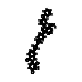 Nc1ncnc2c1c(-c1ccc(Oc3ccccc3)cc1)nn2C1CCC2(CC1)CN(C1CN(c3ccc4c(c3)CN([C@@H]3CCC(=O)NC3=O)C4=O)C1)C2